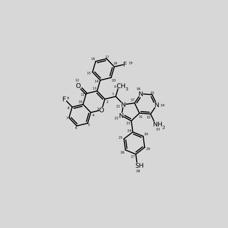 CC(c1oc2cccc(F)c2c(=O)c1-c1cccc(F)c1)n1nc(-c2ccc(S)cc2)c2c(N)ncnc21